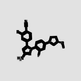 CO[C@H]1CCN(c2ccc(-n3nc(N)cc3-c3ccc(C#N)c(F)c3)c(F)c2)C1